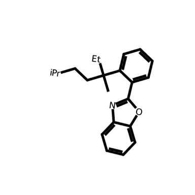 CCC(C)(CCC(C)C)c1ccccc1-c1nc2ccccc2o1